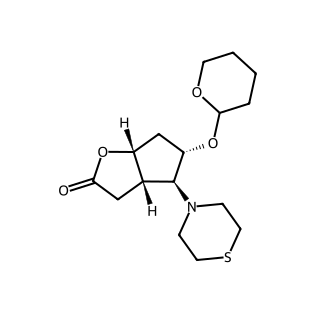 O=C1C[C@H]2[C@H](N3CCSCC3)[C@@H](OC3CCCCO3)C[C@H]2O1